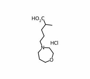 CC(CCCN1CCCOCC1)C(=O)O.Cl